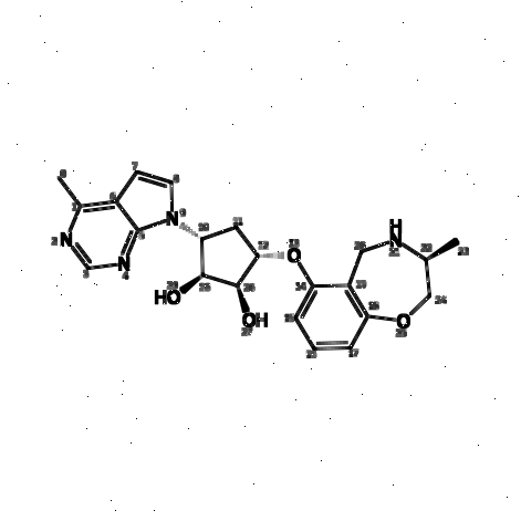 Cc1ncnc2c1ccn2[C@@H]1C[C@H](Oc2cccc3c2CN[C@@H](C)CO3)[C@@H](O)[C@H]1O